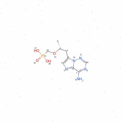 C[C@H](Cc1cnc2c(N)ncnn12)OCP(=O)(O)O